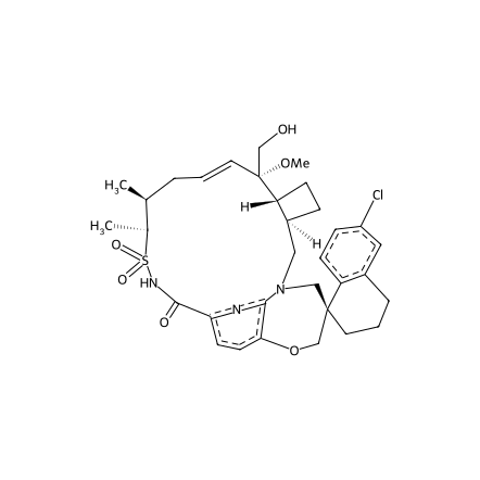 CO[C@@]1(CO)/C=C/C[C@H](C)[C@@H](C)S(=O)(=O)NC(=O)c2ccc3c(n2)N(C[C@@H]2CC[C@H]21)C[C@@]1(CCCc2cc(Cl)ccc21)CO3